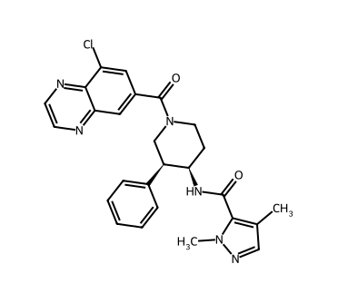 Cc1cnn(C)c1C(=O)N[C@@H]1CCN(C(=O)c2cc(Cl)c3nccnc3c2)C[C@@H]1c1ccccc1